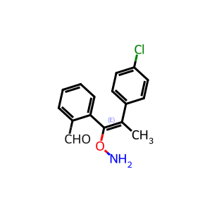 C/C(=C(\ON)c1ccccc1C=O)c1ccc(Cl)cc1